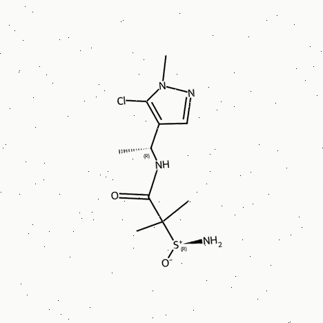 C[C@@H](NC(=O)C(C)(C)[S@@+](N)[O-])c1cnn(C)c1Cl